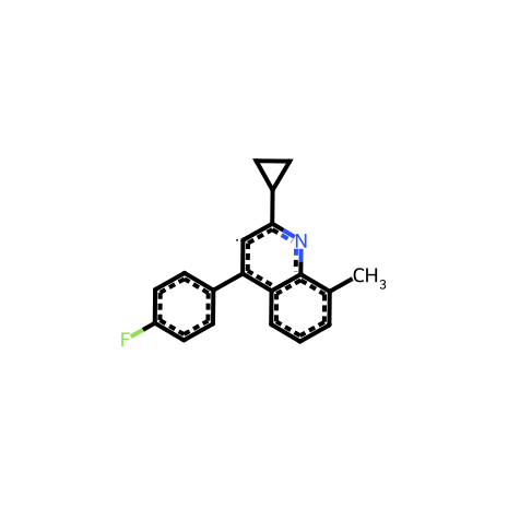 Cc1cccc2c(-c3ccc(F)cc3)[c]c(C3CC3)nc12